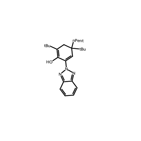 CCCCCC1(C(C)(C)C)C=C(n2nc3ccccc3n2)C(O)=C(C(C)(C)C)C1